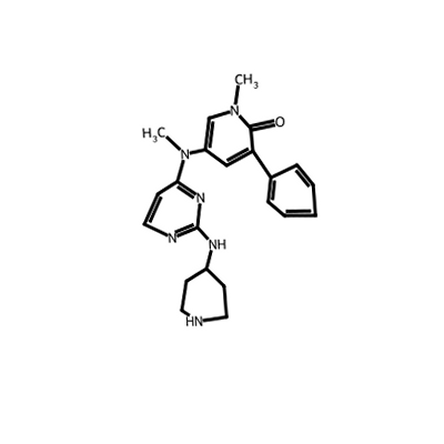 CN(c1cc(-c2ccccc2)c(=O)n(C)c1)c1ccnc(NC2CCNCC2)n1